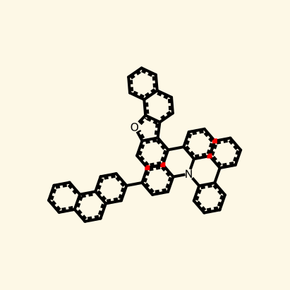 c1ccc(-c2ccccc2N(c2ccc(-c3ccc4c(ccc5ccccc54)c3)cc2)c2ccccc2-c2cccc3oc4c5ccccc5ccc4c23)cc1